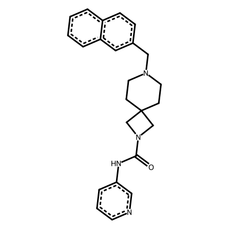 O=C(Nc1cccnc1)N1CC2(CCN(Cc3ccc4ccccc4c3)CC2)C1